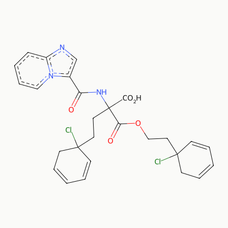 O=C(NC(CCC1(Cl)C=CC=CC1)(C(=O)O)C(=O)OCCC1(Cl)C=CC=CC1)c1cnc2ccccn12